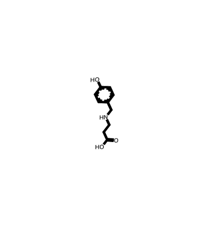 O=C(O)CCNCc1ccc(O)cc1